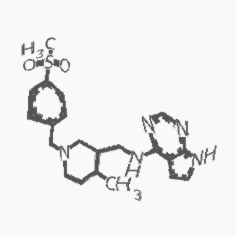 CC1CCN(Cc2ccc(S(C)(=O)=O)cc2)CC1CNc1ncnc2[nH]ccc12